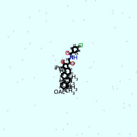 CC(=O)O[C@H]1CC[C@]2(C)[C@H]3CC[C@@H]4C5=C(C(C)C)C(=O)[C@@H](C(=O)CNC(=O)c6ccc(Cl)cc6)C5CC[C@@]4(C)[C@]3(C)CC[C@H]2C1(C)C